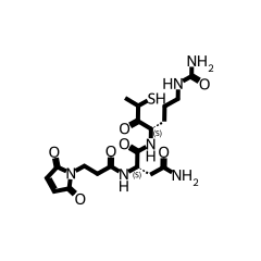 CC(S)C(=O)[C@H](CCCNC(N)=O)NC(=O)[C@H](CC(N)=O)NC(=O)CCN1C(=O)C=CC1=O